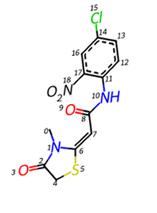 CN1C(=O)CSC1=CC(=O)Nc1ccc(Cl)cc1[N+](=O)[O-]